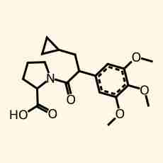 COc1cc(C(CC2CC2)C(=O)N2CCCC2C(=O)O)cc(OC)c1OC